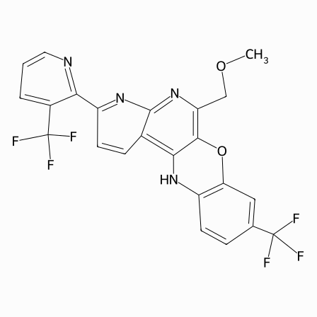 COCc1nc2nc(-c3ncccc3C(F)(F)F)ccc2c2c1Oc1cc(C(F)(F)F)ccc1N2